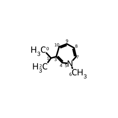 CC(C)C1=CN(C)C=CC=C1